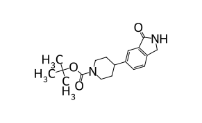 CC(C)(C)OC(=O)N1CCC(c2ccc3c(c2)C(=O)NC3)CC1